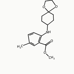 COC(=O)c1cc(C)ccc1NC1CCC2(CC1)OCCO2